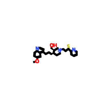 COc1ccc2nccc(CCC[C@@H]3CCN(CCC(=S)c4ccccn4)C[C@@H]3CO)c2c1